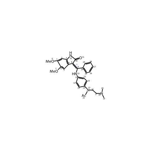 COc1cc2c(cc1OC)/C(=C(\Nc1ccc(N(CCN(C)C)C(C)=O)cc1)c1ccccc1)C(=O)N2